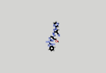 COCc1nc(Nc2nc3ccccc3[nH]2)ncc1N=Nc1nn(-c2cnccn2)cc1C#N